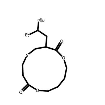 CCCCC(CC)CC1CSCCC(=O)OCCCCOC1=O